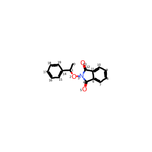 CC(ON1C(=O)c2ccccc2C1=O)c1ccccc1